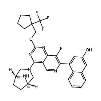 Oc1cc(-c2ncc3c(N4C[C@H]5CC[C@@H](C4)N5)nc(OCC4(C(F)(F)F)CCCC4)nc3c2F)c2ccccc2c1